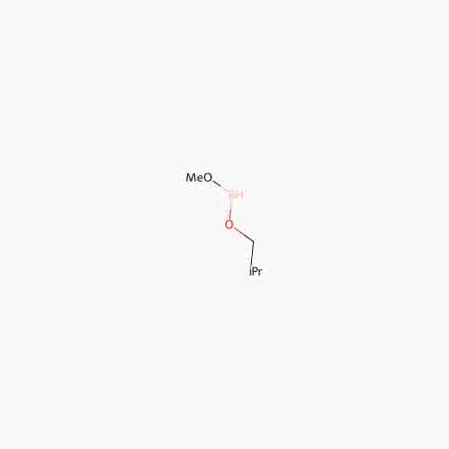 COBOCC(C)C